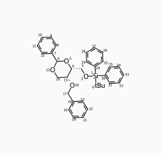 CC(C)(C)[Si](OC[C@H]1OC(c2ccccc2)OC[C@H]1OCc1ccccc1)(c1ccccc1)c1ccccc1